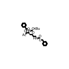 CC(=O)C(OC(=O)c1ccccc1)[C@H](CCCCNC(=O)OCc1ccccc1)NC(=O)OC(C)(C)C